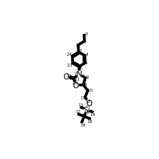 CCCc1ccc(N2CC(CCO[Si](C)(C)C(C)(C)C)OC2=O)cc1